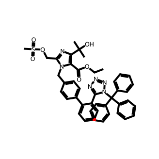 CCOC(=O)c1c(C(C)(C)O)nc(COS(C)(=O)=O)n1Cc1ccc(-c2ccccc2-c2nnnn2C(c2ccccc2)(c2ccccc2)c2ccccc2)cc1